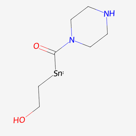 O=[C]([Sn][CH2]CO)N1CCNCC1